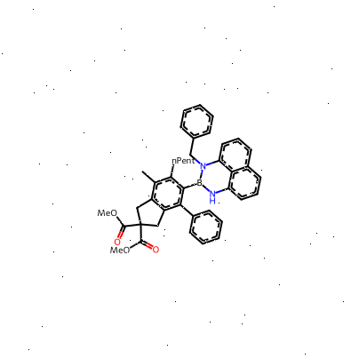 CCCCCc1c(C)c2c(c(-c3ccccc3)c1B1Nc3cccc4cccc(c34)N1Cc1ccccc1)CC(C(=O)OC)(C(=O)OC)C2